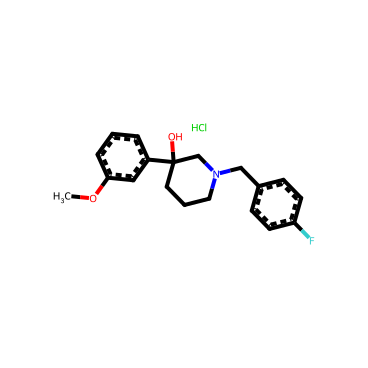 COc1cccc(C2(O)CCCN(Cc3ccc(F)cc3)C2)c1.Cl